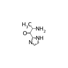 CC(N)C(=O)c1ncc[nH]1